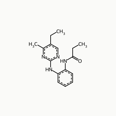 CCC(=O)Nc1ccccc1Nc1ncc(CC)c(C)n1